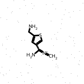 C=[N+]=C(N)c1csc(CN)c1